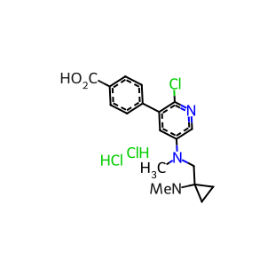 CNC1(CN(C)c2cnc(Cl)c(-c3ccc(C(=O)O)cc3)c2)CC1.Cl.Cl